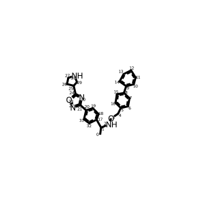 CC(NOCc1ccc(-c2ccccc2)cc1)c1ccc(-c2noc(C3CCNC3)n2)cc1